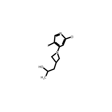 CC(O)CC1CN(c2cc(Cl)ncc2I)C1